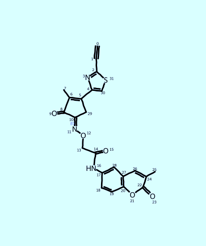 C#Cc1nc(C2=C(C)C(=O)/C(=N/OCC(=O)Nc3ccc4oc(=O)c(C)cc4c3)C2)cs1